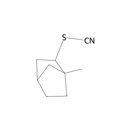 CC12CCC(CC1SC#N)C2